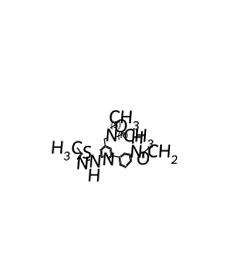 C=CC(=O)Nc1cccc(-c2cc(CN3C[C@@H](C)O[C@@H](C)C3)cc(Nc3ncc(C)s3)n2)c1